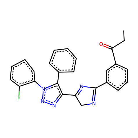 CCC(=O)c1cccc(C2=NCC(c3nnn(-c4ccccc4F)c3-c3ccccc3)=N2)c1